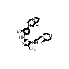 CCc1cc(N2CCN3CCC[C@@H]3C2)ccc1Nc1ncc(C(F)(F)F)c(NCCCN2CCOCCC2=O)n1